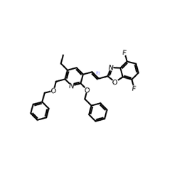 CCc1cc(/C=C/c2nc3c(F)ccc(F)c3o2)c(OCc2ccccc2)nc1COCc1ccccc1